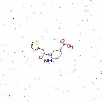 N.O=C(O)C1CCCN(C(=O)Cc2cccs2)C1